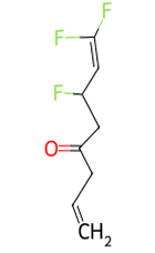 C=CCC(=O)CC(F)C=C(F)F